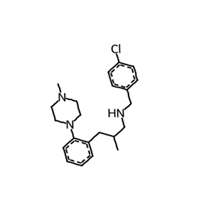 CC(CNCc1ccc(Cl)cc1)Cc1ccccc1N1CCN(C)CC1